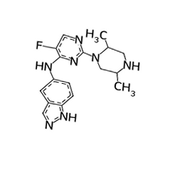 CC1CN(c2ncc(F)c(Nc3ccc4[nH]ncc4c3)n2)C(C)CN1